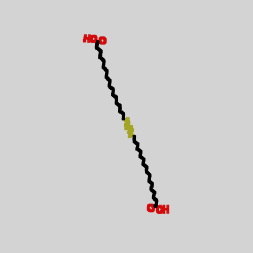 O=C(O)CCCCCCCCCCCCCCCCCSSSSCCCCCCCCCCCCCCCCCC(=O)O